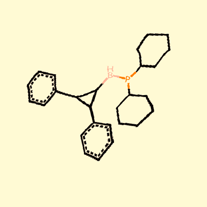 B(C1C(c2ccccc2)C1c1ccccc1)P(C1CCCCC1)C1CCCCC1